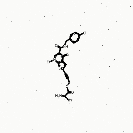 CCn1cc(C(=O)NCc2ccc(Cl)cc2)c(=S)c2cc(C#CCOC(=O)C(N)C(C)C)sc21